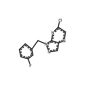 Fc1cccc(Cn2ncc3ncc(Cl)nc32)c1